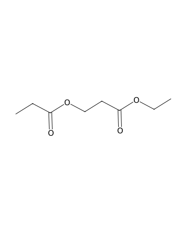 CCOC(=O)CCOC(=O)CC